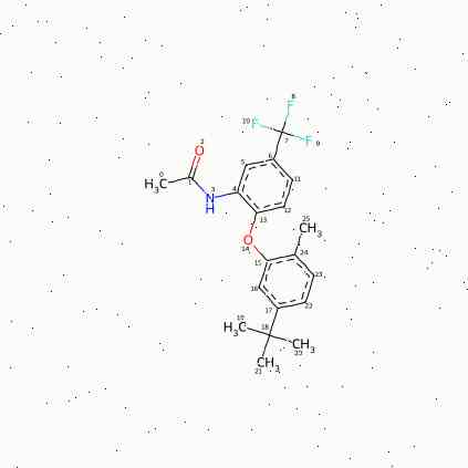 CC(=O)Nc1cc(C(F)(F)F)ccc1Oc1cc(C(C)(C)C)ccc1C